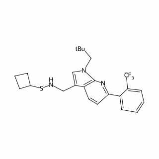 CC(C)(C)Cn1cc(CNSC2CCC2)c2ccc(-c3ccccc3C(F)(F)F)nc21